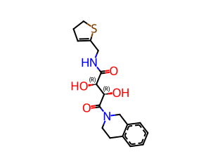 O=C(NCC1=CCCS1)[C@H](O)[C@@H](O)C(=O)N1CCc2ccccc2C1